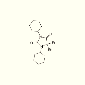 CCC1(CC)C(=O)N(C2CCCCC2)C(=O)N1C1CCCCC1